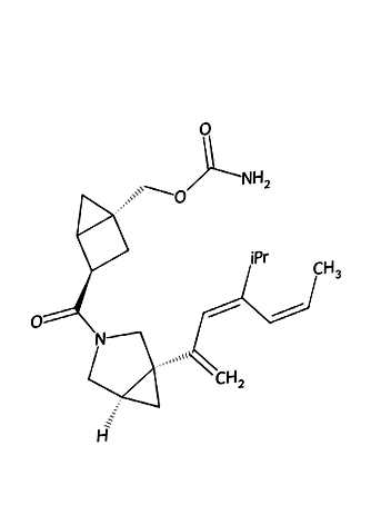 C=C(/C=C(\C=C/C)C(C)C)[C@]12C[C@H]1CN(C(=O)[C@@H]1C[C@]3(COC(N)=O)CC13)C2